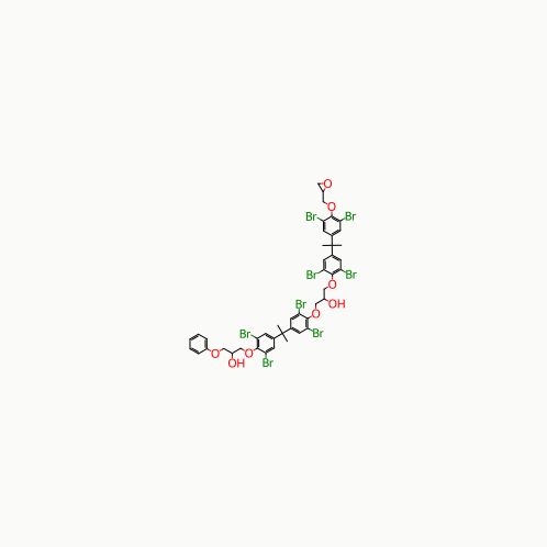 CC(C)(c1cc(Br)c(OCC(O)COc2ccccc2)c(Br)c1)c1cc(Br)c(OCC(O)COc2c(Br)cc(C(C)(C)c3cc(Br)c(OCC4CO4)c(Br)c3)cc2Br)c(Br)c1